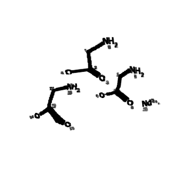 NCC(=O)[O-].NCC(=O)[O-].NCC(=O)[O-].[Nd+3]